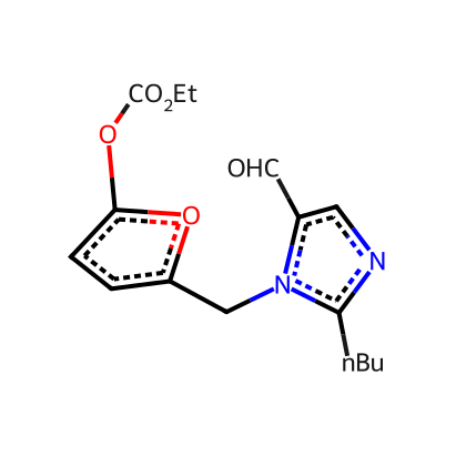 CCCCc1ncc(C=O)n1Cc1ccc(OC(=O)OCC)o1